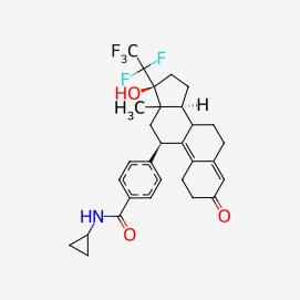 CC12C[C@H](c3ccc(C(=O)NC4CC4)cc3)C3=C4CCC(=O)C=C4CCC3[C@@H]1CC[C@@]2(O)C(F)(F)C(F)(F)F